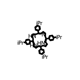 CC(C)c1ccc(/C2=C3\C=CC(N3)/C(c3ccc(C(C)C)cc3)=c3/cc/c([nH]3)=C(\c3ccc(C(C)C)cc3)c3ccc([nH]3)/C(c3ccc(C(C)C)cc3)=C3/C=CC2=N3)cc1